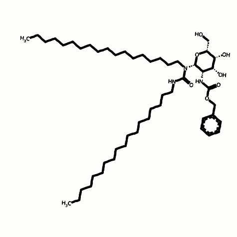 CCCCCCCCCCCCCCCCCCNC(=O)N(CCCCCCCCCCCCCCCCCC)[C@@H]1O[C@H](CO)[C@H](O)[C@H](O)[C@@H]1NC(=O)OCc1ccccc1